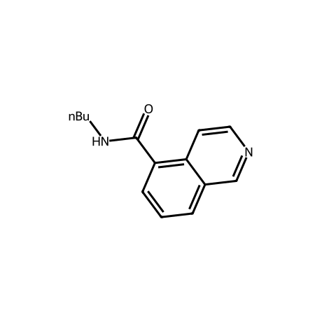 CCCCNC(=O)c1cccc2cnccc12